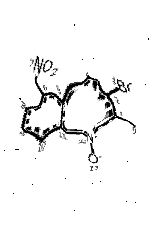 Cc1c(Br)cc2c([N+](=O)[O-])cccc2[n+]1[O-]